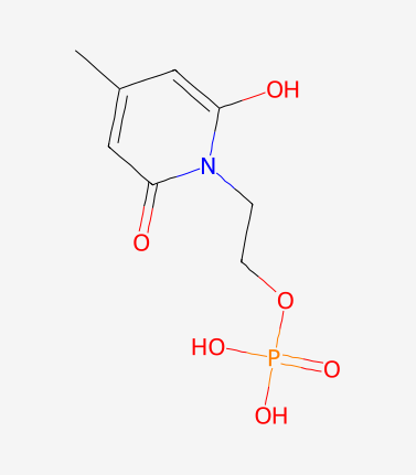 Cc1cc(O)n(CCOP(=O)(O)O)c(=O)c1